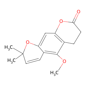 COc1c2c(cc3c1CCC(=O)O3)OC(C)(C)C=C2